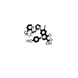 CN(C[C@H]1CCCN1c1cc2c(cc1F)c(=O)c(C(=O)O)cn2-c1ccc(O)cc1)c1ncccc1Cl